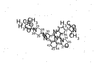 Cc1noc(C)c1-c1ccc2nc(-c3cnn(C4CCN(C(=O)OC(C)(C)C)CC4)c3)nc(N3CCOC[C@@H]3c3ccccc3)c2c1